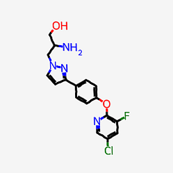 NC(CO)Cn1ccc(-c2ccc(Oc3ncc(Cl)cc3F)cc2)n1